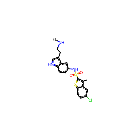 CCNCCc1c[nH]c2ccc(NS(=O)(=O)c3sc4ccc(Cl)cc4c3C)cc12